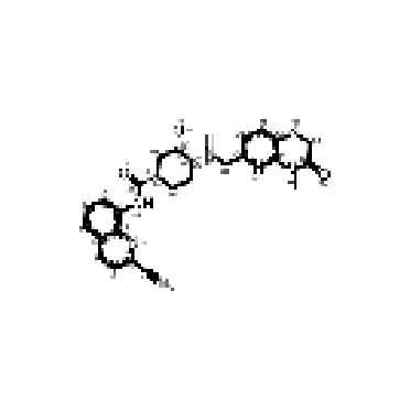 N#Cc1ccc2cccc(NC(=O)[C@@H]3CC[C@@H](NCc4ccc5c(n4)NC(=O)CS5)[C@@H](O)C3)c2n1